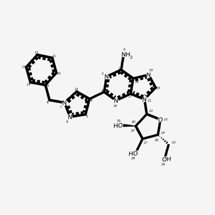 Nc1nc(-c2cnn(Cc3ccccc3)c2)nc2c1ncn2C1O[C@H](CO)C(O)[C@H]1O